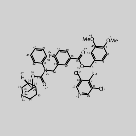 COc1ccc([C@H](Cc2c(Cl)cncc2Cl)OC(=O)c2ccc(F)c(CN(C(=O)O[C@H]3CN4CCC3CC4)c3ccccc3)c2)cc1OC